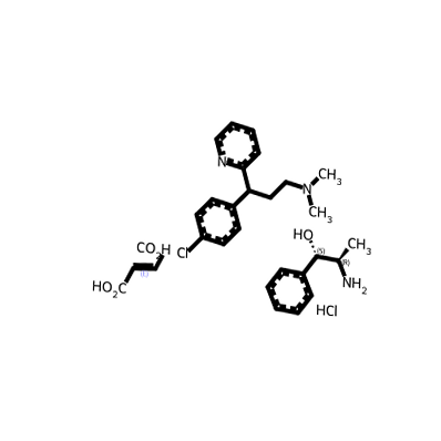 CN(C)CCC(c1ccc(Cl)cc1)c1ccccn1.C[C@@H](N)[C@@H](O)c1ccccc1.Cl.O=C(O)/C=C/C(=O)O